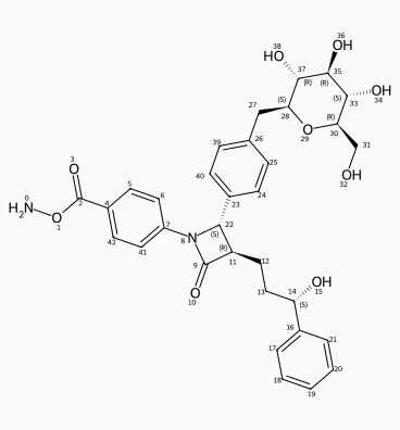 NOC(=O)c1ccc(N2C(=O)[C@H](CC[C@H](O)c3ccccc3)[C@H]2c2ccc(C[C@@H]3O[C@H](CO)[C@@H](O)[C@H](O)[C@H]3O)cc2)cc1